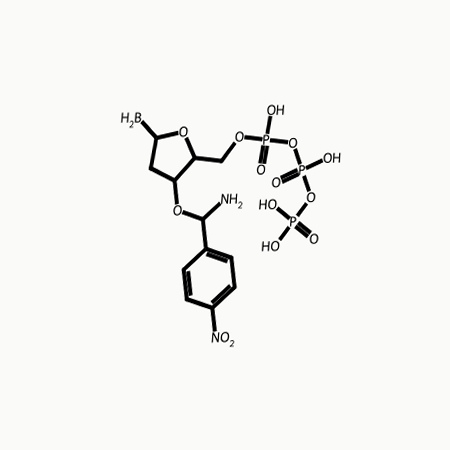 BC1CC(OC(N)c2ccc([N+](=O)[O-])cc2)C(COP(=O)(O)OP(=O)(O)OP(=O)(O)O)O1